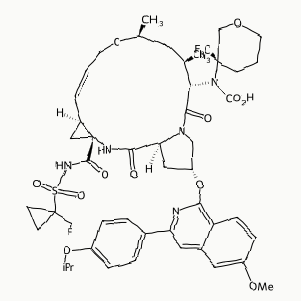 COc1ccc2c(O[C@@H]3C[C@H]4C(=O)N[C@]5(C(=O)NS(=O)(=O)C6(CF)CC6)C[C@H]5C=CCC[C@@H](C)C[C@@H](C)[C@H](N(C(=O)O)[C@@]5(C(F)(F)F)CCCOC5)C(=O)N4C3)nc(-c3ccc(OC(C)C)cc3)cc2c1